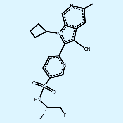 Cc1cc2c(C#N)c(-c3ccc(S(=O)(=O)N[C@@H](C)CF)cn3)n(C3CCC3)c2cn1